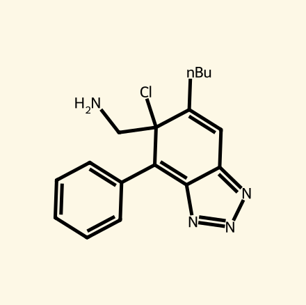 CCCCC1=CC2=NN=NC2=C(c2ccccc2)C1(Cl)CN